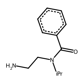 CC(C)N(CCN)C(=O)c1ccccc1